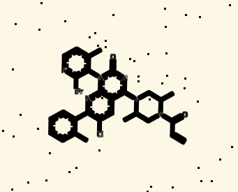 C=CC(=O)N1CC(C)N(c2nc(=O)n(-c3c(C)ccnc3C(C)C)c3nc(-c4ccccc4C)c(Cl)cc23)CC1C